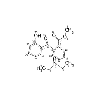 CCNCC.COC(=O)c1ccccc1C(=O)c1ccccc1O